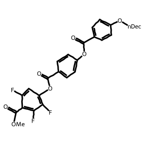 CCCCCCCCCCOc1ccc(C(=O)Oc2ccc(C(=O)Oc3cc(F)c(C(=O)OC)c(F)c3F)cc2)cc1